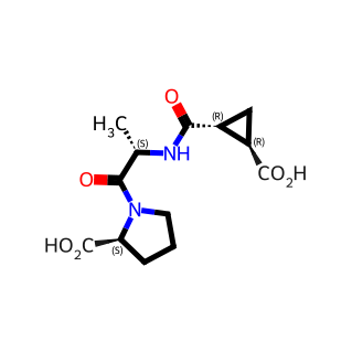 C[C@H](NC(=O)[C@@H]1C[C@H]1C(=O)O)C(=O)N1CCC[C@H]1C(=O)O